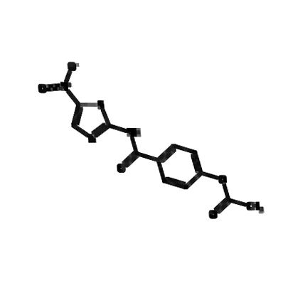 CC(=O)Oc1ccc(C(=O)Nc2ncc([N+](=O)[O-])s2)cc1